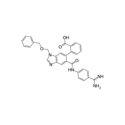 N=C(N)c1ccc(NC(=O)c2cc3ncn(COCc4ccccc4)c3cc2-c2ccccc2C(=O)O)cc1